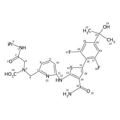 CC(C)NC(=O)CN(Cc1cccc(Nc2sc(-c3c(F)cc(C(C)(C)O)cc3F)cc2C(N)=O)n1)C(=O)O